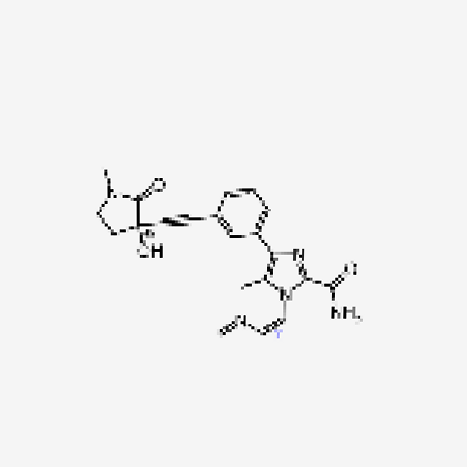 C=N/C=C\n1c(C(N)=O)nc(-c2cccc(C#C[C@]3(O)CCN(C)C3=O)c2)c1C